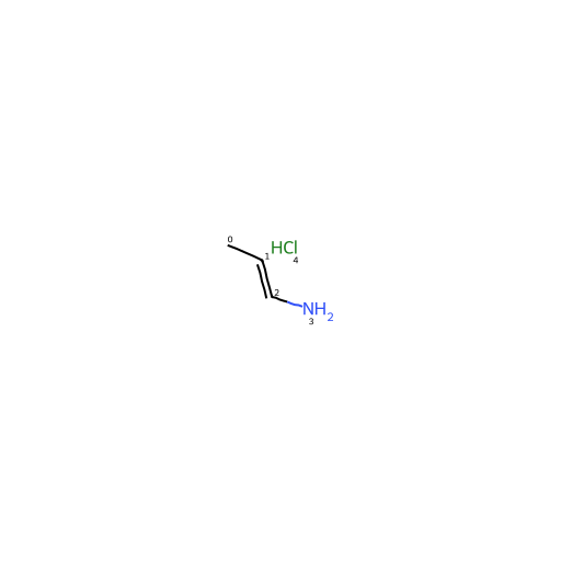 CC=CN.Cl